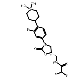 O=C1O[C@@H](CNC(=S)C(F)F)CN1c1ccc(C2CCS(O)(O)CC2)c(F)c1